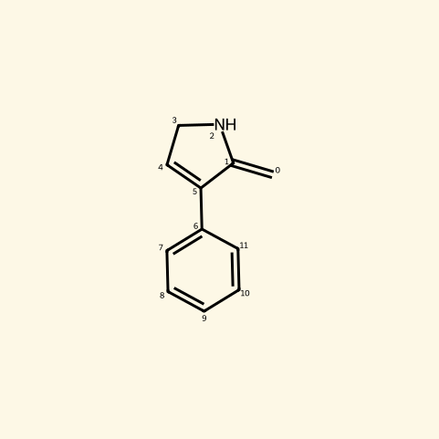 C=C1NCC=C1c1ccccc1